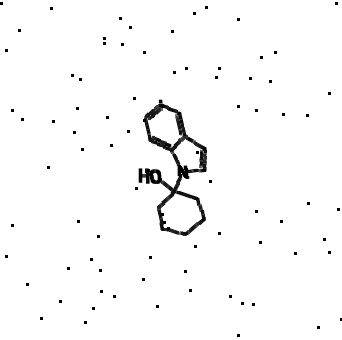 OC1(n2ccc3c[c]ccc32)CCCCC1